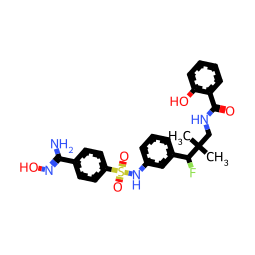 CC(C)(CNC(=O)c1ccccc1O)C(F)c1cccc(NS(=O)(=O)c2ccc(C(N)=NO)cc2)c1